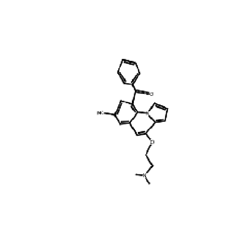 CN(C)CCOc1cc2cc(C#N)cc(C(=O)c3ccccc3)c2n2cccc12